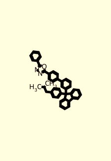 CC(C)Cc1ccc(C2(c3cccc(-c4ccc(-c5nnc(-c6ccccc6)o5)cc4)c3)c3ccccc3-c3ccccc32)cc1